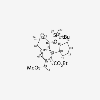 CCOC(=O)c1c(C(C)OC)nc2c(c1C1CCCCC1)[C@@H](O[Si](C)(C)C(C)(C)C)CC(C)(C)C2